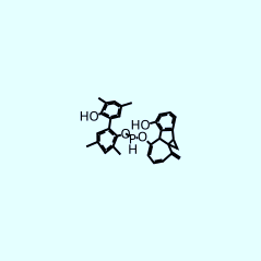 C=C1C=CC=C(OPOc2c(C)cc(C)cc2-c2cc(C)cc(C)c2O)C2c3c(O)cccc3C3CC132